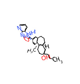 CCC[C@@]1(O)CC[C@@]2(CC)c3ccc(C(=O)Nc4cccnc4N)cc3CCC[C@H]2C1